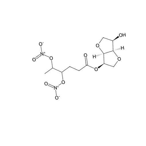 CC(O[N+](=O)[O-])C(CCC(=O)O[C@@H]1CO[C@H]2[C@@H]1OC[C@H]2O)O[N+](=O)[O-]